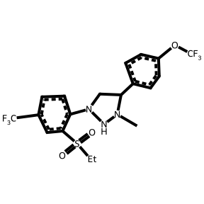 CCS(=O)(=O)c1cc(C(F)(F)F)ccc1N1CC(c2ccc(OC(F)(F)F)cc2)N(C)N1